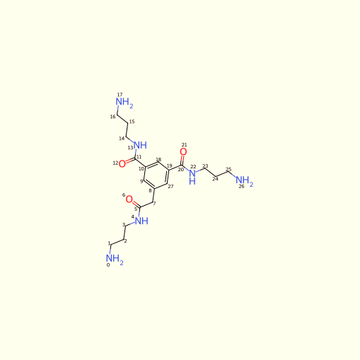 NCCCNC(=O)Cc1cc(C(=O)NCCCN)cc(C(=O)NCCCN)c1